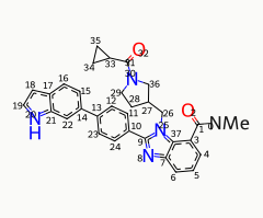 CNC(=O)c1cccc2nc(-c3ccc(-c4ccc5cc[nH]c5c4)cc3)n(CC3CCN(C(=O)C4CC4)C3)c12